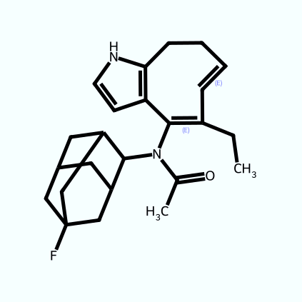 CCC1=C(\N(C(C)=O)C2C3CC4CC2CC(F)(C4)C3)c2cc[nH]c2CC\C=C\1